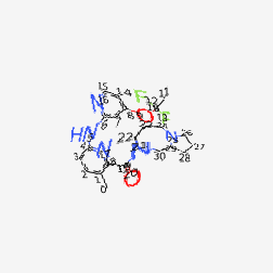 Cc1ccc(Nc2cc(OC(C)(F)F)ccn2)nc1C(=O)N1CCCN2CCCC2C1